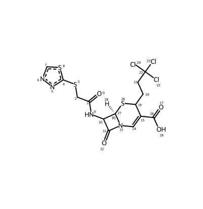 O=C(CSc1nncs1)NC1C(=O)N2C=C(C(=O)O)C(CCC(Cl)(Cl)Cl)S[C@H]12